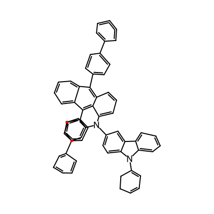 C1=C=CC(c2ccc(-c3c4ccccc4c(-c4ccc(-c5ccccc5)cc4)c4c(N(c5ccccc5)c5ccc6c(c5)c5ccccc5n6C5=CC=CCC5)cccc34)cc2)=CC=1